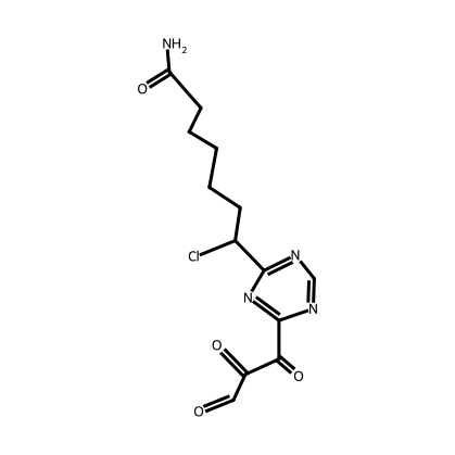 NC(=O)CCCCCC(Cl)c1ncnc(C(=O)C(=O)C=O)n1